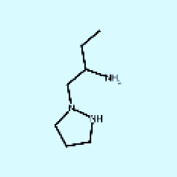 CCC(N)CN1CCCN1